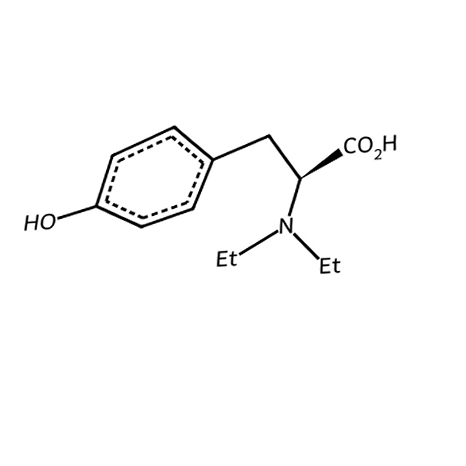 CCN(CC)[C@@H](Cc1ccc(O)cc1)C(=O)O